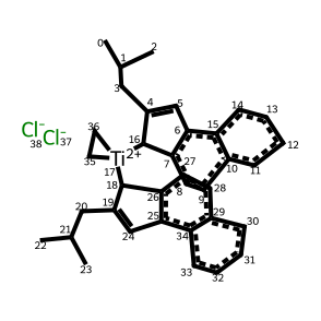 CC(C)CC1=Cc2c(ccc3ccccc23)[CH]1[Ti+2]1([CH]2C(CC(C)C)=Cc3c2ccc2ccccc32)[CH2][CH2]1.[Cl-].[Cl-]